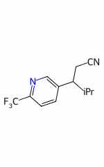 CC(C)C(CC#N)c1ccc(C(F)(F)F)nc1